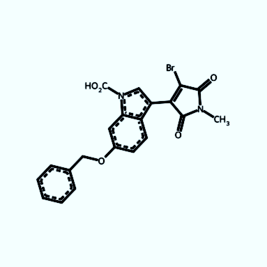 CN1C(=O)C(Br)=C(c2cn(C(=O)O)c3cc(OCc4ccccc4)ccc23)C1=O